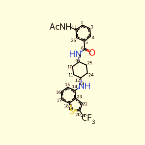 CC(=O)Nc1cccc(C(=O)NC2CCC(Nc3cccc4sc(C(F)(F)F)cc34)CC2)c1